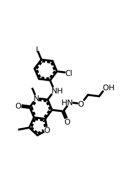 Cc1coc2c(C(=O)NOCCO)c(Nc3ccc(I)cc3Cl)n(C)c(=O)c12